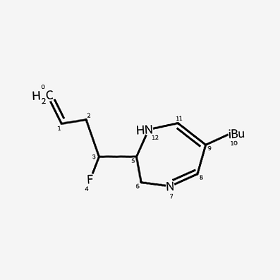 C=CCC(F)C1CN=CC(C(C)CC)=CN1